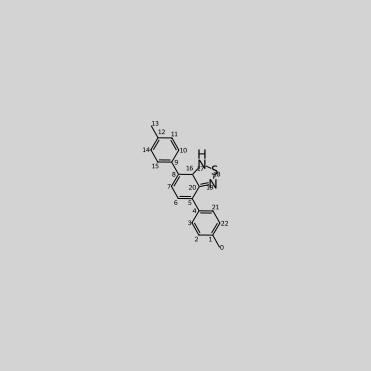 Cc1ccc(C2=CC=C(c3ccc(C)cc3)C3NSN=C23)cc1